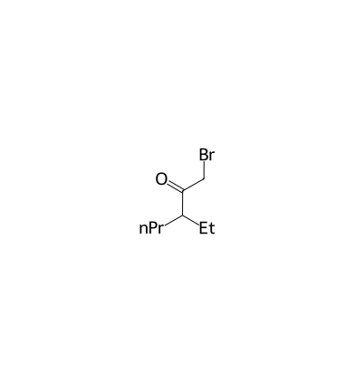 CCCC(CC)C(=O)CBr